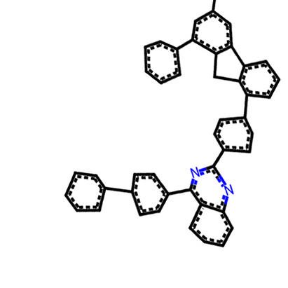 c1ccc(-c2ccc(-c3nc(-c4ccc(-c5cccc6c5Cc5c(-c7ccccc7)cc(-c7ccccc7)cc5-6)cc4)nc4ccccc34)cc2)cc1